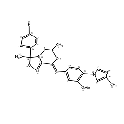 COc1cc(C=C2OC(C)CN3C2=NOC3(C)c2ccc(F)cc2)ccc1-n1cnc(C)c1